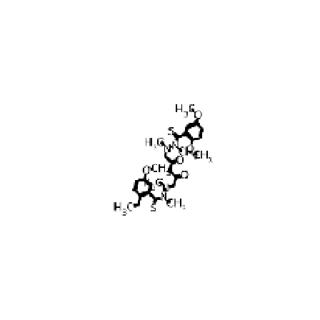 CCc1ccc(OC)cc1C(=S)N(C)N(C)CC(=O)CC(=O)CN(C)N(C)C(=S)c1cc(OC)ccc1OC